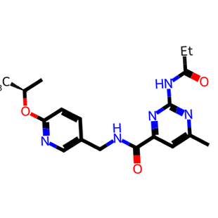 CCC(=O)Nc1nc(C)cc(C(=O)NCc2ccc(O[C@H](C)C(F)(F)F)nc2)n1